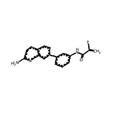 C=C(F)C(=O)Nc1cccc(-c2ccc3ccc(N)nc3c2)c1